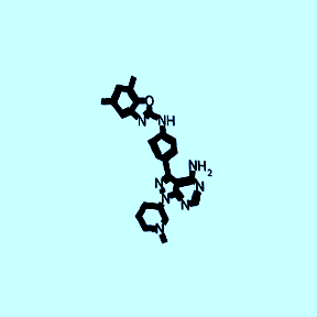 Cc1cc(C)c2oc(Nc3ccc(-c4nn(C5CCCN(C)C5)c5ncnc(N)c45)cc3)nc2c1